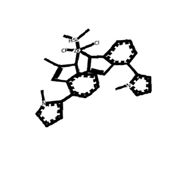 CC1=Cc2c(-c3cccn3C)cccc2[CH]1[Zr]([Cl])([Cl])([CH]1C(C)=Cc2c(-c3cccn3C)cccc21)[SiH](C)C